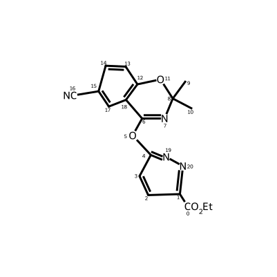 CCOC(=O)c1ccc(OC2=NC(C)(C)Oc3ccc(C#N)cc32)nn1